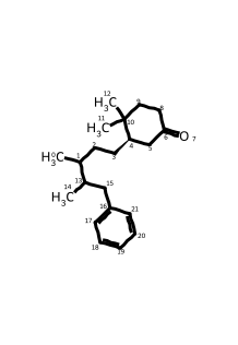 CC(CC[C@@H]1CC(=O)CCC1(C)C)C(C)Cc1ccccc1